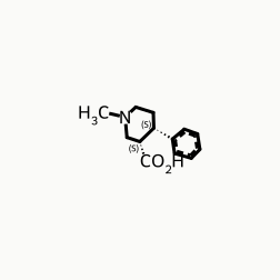 CN1CC[C@H](c2ccccc2)[C@H](C(=O)O)C1